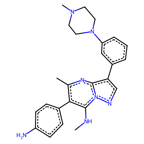 CNc1c(-c2ccc(N)cc2)c(C)nc2c(-c3cccc(N4CCN(C)CC4)c3)cnn12